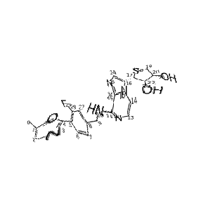 Cc1cnc(-c2ccc(CNc3nccn4c([C@@H]5SC[C@@H](O)[C@H]5O)cnc34)cc2F)o1